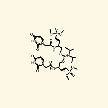 COP(=O)(/C=C/C(COP(OCC(/C=C/P(=O)(OC)OC)NC(=O)Cn1ccc(=O)[nH]c1=O)N(C(C)C)C(C)C)NC(=O)Cn1ccc(=O)[nH]c1=O)OC